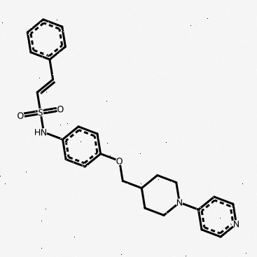 O=S(=O)(/C=C/c1ccccc1)Nc1ccc(OCC2CCN(c3ccncc3)CC2)cc1